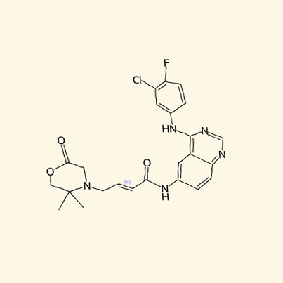 CC1(C)COC(=O)CN1C/C=C/C(=O)Nc1ccc2ncnc(Nc3ccc(F)c(Cl)c3)c2c1